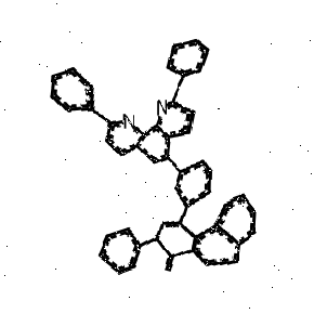 C=C1c2ccc3ccccc3c2C(c2cccc(-c3cc4ccc(-c5ccccc5)nc4c4nc(-c5ccccc5)ccc34)c2)=CC1c1ccccc1